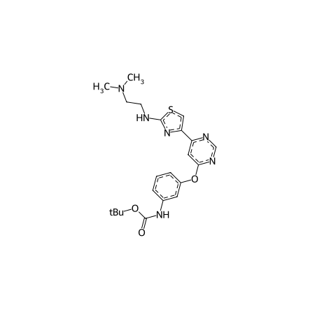 CN(C)CCNc1nc(-c2cc(Oc3cccc(NC(=O)OC(C)(C)C)c3)ncn2)cs1